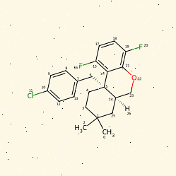 CC1(C)CC[C@@]2(Cc3ccc(Cl)cc3)c3c(F)ccc(F)c3OC[C@H]2C1